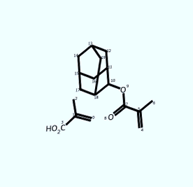 C=C(C)C(=O)O.C=C(C)C(=O)OC1C2CC3CC(C2)CC1C3